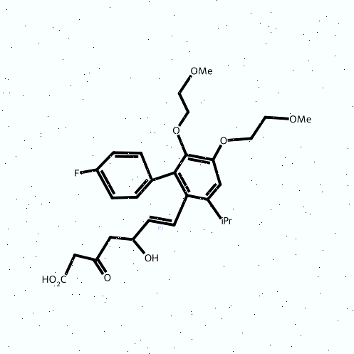 COCCOc1cc(C(C)C)c(/C=C/C(O)CC(=O)CC(=O)O)c(-c2ccc(F)cc2)c1OCCOC